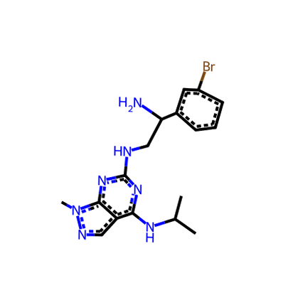 CC(C)Nc1nc(NCC(N)c2cccc(Br)c2)nc2c1cnn2C